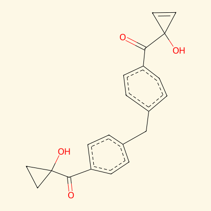 O=C(c1ccc(Cc2ccc(C(=O)C3(O)CC3)cc2)cc1)C1(O)C=C1